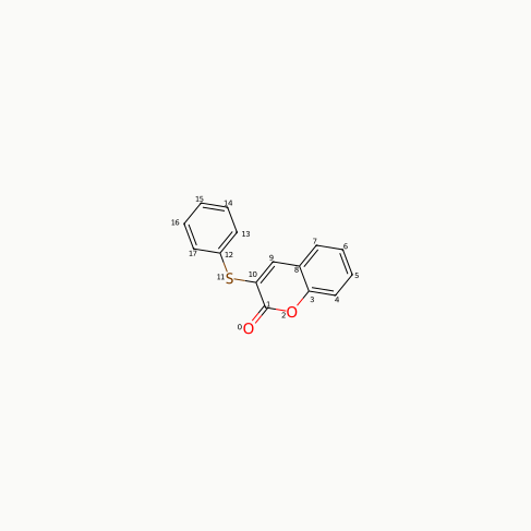 O=c1oc2ccccc2cc1Sc1ccccc1